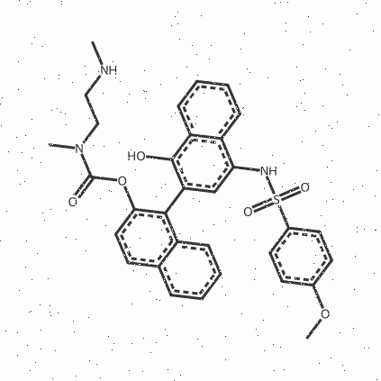 CNCCN(C)C(=O)Oc1ccc2ccccc2c1-c1cc(NS(=O)(=O)c2ccc(OC)cc2)c2ccccc2c1O